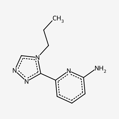 CCCn1cnnc1-c1cccc(N)n1